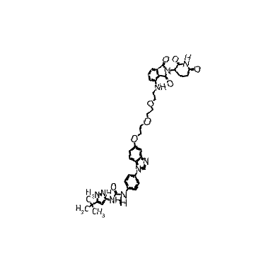 CC(C)(C)c1cc(NC(=O)Nc2ccc(-n3cnc4cc(OCCOCCOCCNc5cccc6c5C(=O)N(C5CCC(=O)NC5=O)C6=O)ccc43)cc2)[nH]n1